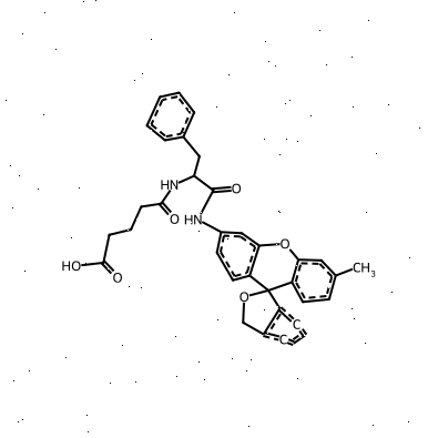 Cc1ccc2c(c1)Oc1cc(NC(=O)C(Cc3ccccc3)NC(=O)CCCC(=O)O)ccc1C21OCc2ccccc21